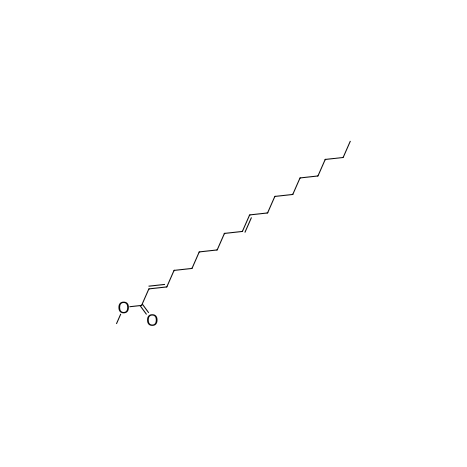 CCCCCCCCC=CCCCCCC=CC(=O)OC